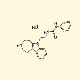 Cl.O=C(NCCn1c2c(c3ccccc31)CCNCC2)Nc1ccccc1